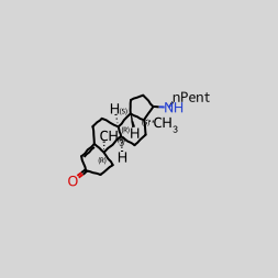 CCCCCNC1CC[C@H]2[C@@H]3CCC4=CC(=O)CC[C@]4(C)[C@@H]3CC[C@]12C